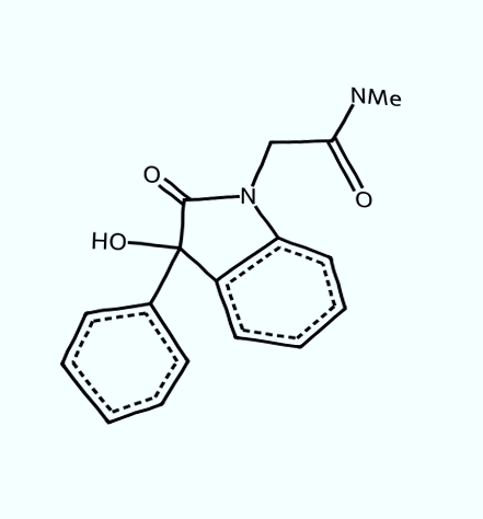 CNC(=O)CN1C(=O)C(O)(c2ccccc2)c2ccccc21